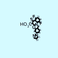 O=C(O)C1C(=O)N(Cc2ccc(-n3cccn3)cc2)c2c(F)ccc(F)c2C1=S